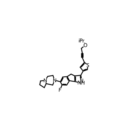 CC(C)OCC#Cc1cc(-c2n[nH]c3c2Cc2cc(N4CCN5CCCC5C4)c(F)cc2-3)cs1